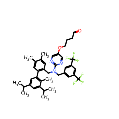 Cc1cc(CN(Cc2cc(C(F)(F)F)cc(C(F)(F)F)c2)c2ncc(OCCCC=O)cn2)c(-c2cc(C(C)C)cc(C(C)C)c2C)cc1C